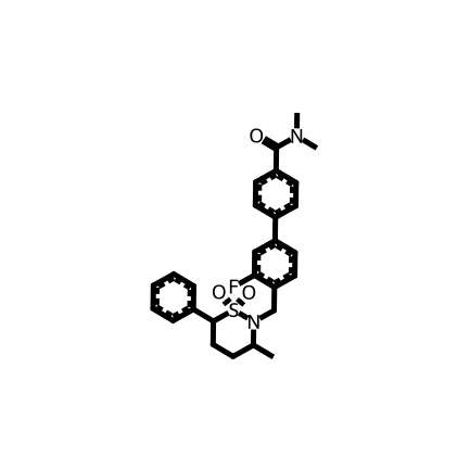 CC1CCC(c2ccccc2)S(=O)(=O)N1Cc1ccc(-c2ccc(C(=O)N(C)C)cc2)cc1F